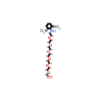 O=[N+]([O-])c1cccc([N+](=O)[O-])c1NCCOCCOCCOCCOCCOCCOCO